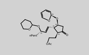 CCCCC[C@@H](C=C[C@@H]1[C@@H](O[C@@H]2C=CC=CO2)CC(=O)[C@H]1CCOC(C)=O)OC1CCCCO1